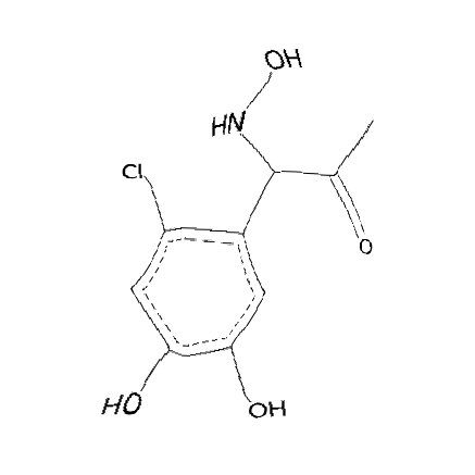 CC(=O)C(NO)c1cc(O)c(O)cc1Cl